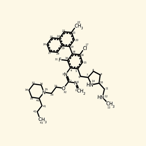 C=N/C(=N\c1c(CC2CCC(CNC)N2)cc(Cl)c(-c2cc(C)cc3ccccc23)c1F)OCCN1CCCCC1CCC